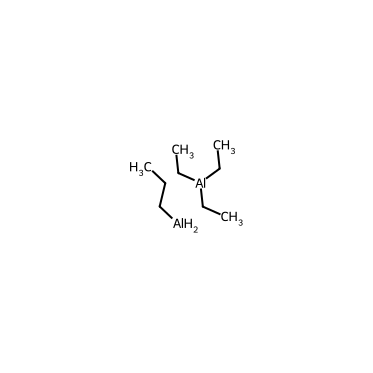 CC[CH2][AlH2].C[CH2][Al]([CH2]C)[CH2]C